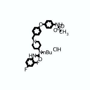 CCCCN(C(=O)Nc1ccc(F)cc1F)C1CCN(Cc2ccc(Oc3ccc(NS(C)(=O)=O)cc3)cc2)CC1.Cl